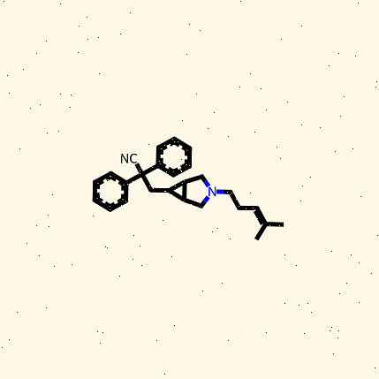 CC(C)=CCCN1CC2C(C1)C2CC(C#N)(c1ccccc1)c1ccccc1